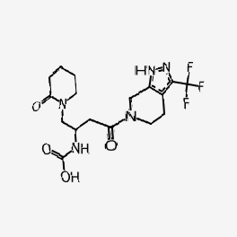 O=C(O)NC(CC(=O)N1CCc2c(C(F)(F)F)n[nH]c2C1)CN1CCCCC1=O